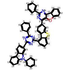 c1ccc(-c2nc(-c3ccc4c5ccccc5n(-c5ccccc5)c4c3)nc(-c3cccc4sc5cc(-c6nc(-c7ccccc7)nc7c6oc6ccccc67)ccc5c34)n2)cc1